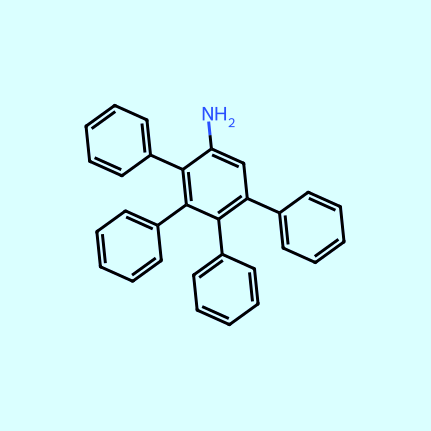 Nc1cc(-c2ccccc2)c(-c2ccccc2)c(-c2ccccc2)c1-c1ccccc1